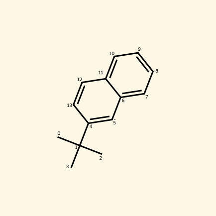 CC(C)(C)c1[c]c2ccccc2cc1